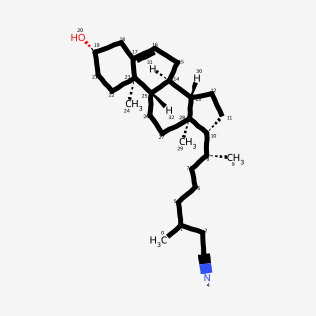 CC(CC#N)CCC[C@@H](C)[C@H]1CC[C@H]2[C@@H]3CC=C4C[C@@H](O)CC[C@]4(C)[C@H]3CC[C@]12C